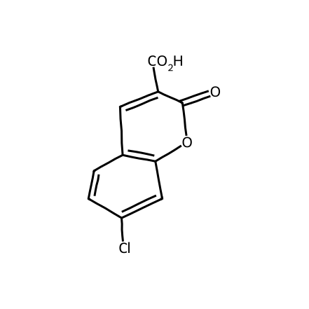 O=C(O)c1cc2ccc(Cl)cc2oc1=O